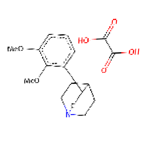 COc1cccc(C2CN3CCC2CC3)c1OC.O=C(O)C(=O)O